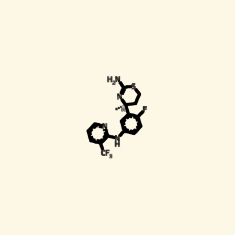 C[C@@]1(c2cc(Nc3ncccc3C(F)(F)F)ccc2F)CCSC(N)=N1